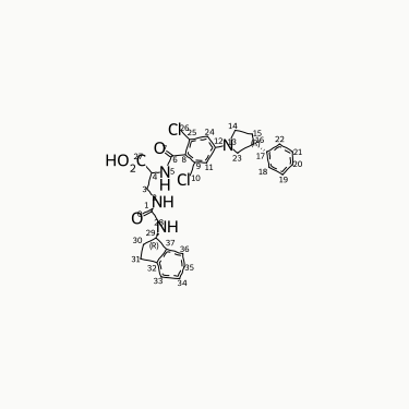 O=C(NCC(NC(=O)c1c(Cl)cc(N2CC[C@H](c3ccccc3)C2)cc1Cl)C(=O)O)N[C@@H]1CCc2ccccc21